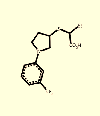 CCC(SC1CCN(c2cccc(C(F)(F)F)c2)C1)C(=O)O